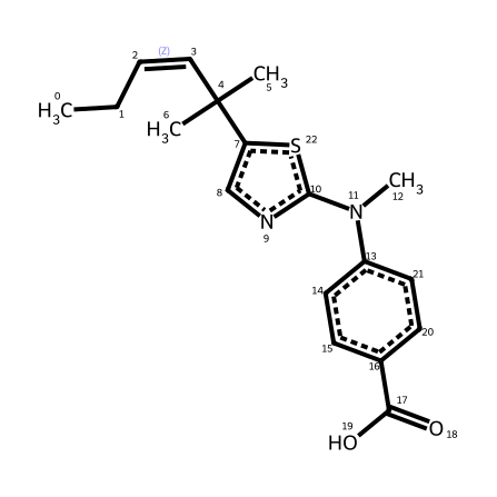 CC/C=C\C(C)(C)c1cnc(N(C)c2ccc(C(=O)O)cc2)s1